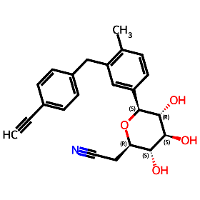 C#Cc1ccc(Cc2cc([C@@H]3O[C@H](CC#N)[C@@H](O)[C@H](O)[C@H]3O)ccc2C)cc1